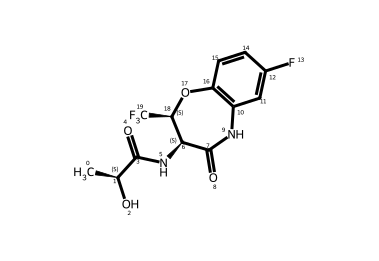 C[C@H](O)C(=O)N[C@@H]1C(=O)Nc2cc(F)ccc2O[C@@H]1C(F)(F)F